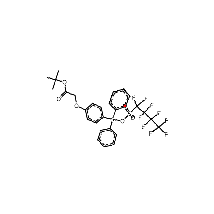 CC(C)(C)OC(=O)COc1ccc(S(OS(=O)(=O)C(F)(F)C(F)(F)C(F)(F)C(F)(F)F)(c2ccccc2)c2ccccc2)cc1